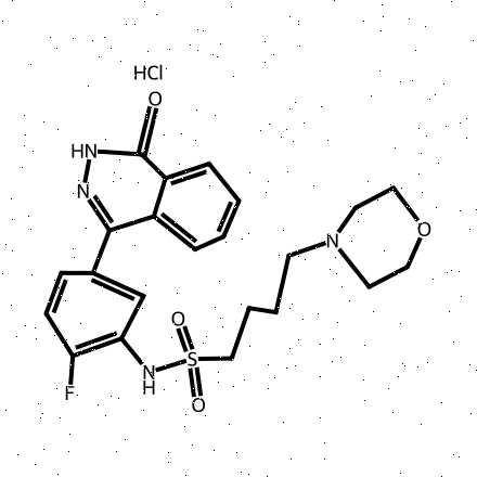 Cl.O=c1[nH]nc(-c2ccc(F)c(NS(=O)(=O)CCCCN3CCOCC3)c2)c2ccccc12